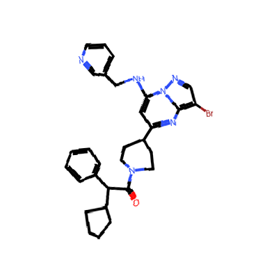 O=C(C(c1ccccc1)C1CCCC1)N1CCC(c2cc(NCc3cccnc3)n3ncc(Br)c3n2)CC1